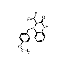 COc1ccc(CN2c3ccccc3NC(=O)C2C(F)F)cc1